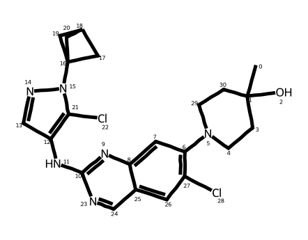 CC1(O)CCN(c2cc3nc(Nc4cnn(C56CC(C5)C6)c4Cl)ncc3cc2Cl)CC1